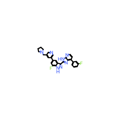 Fc1cccc(-c2ccnc3[nH]c(-c4n[nH]c5c(F)cc(-c6cncc(CN7CCCC7)c6)cc45)nc23)c1